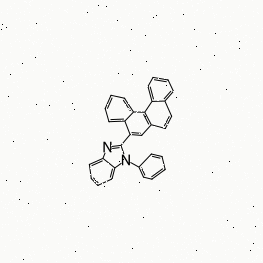 c1ccc(-n2c(-c3cc4ccc5ccccc5c4c4ccccc34)nc3ccccc32)cc1